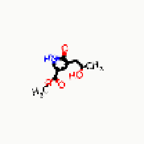 COC(=O)c1c[nH]c(=O)c(C[C@@H](C)O)c1